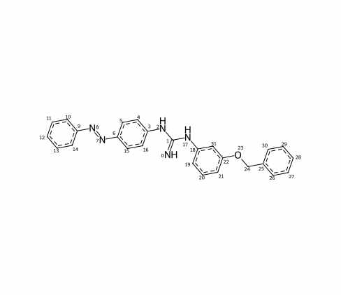 N=C(Nc1ccc(N=Nc2ccccc2)cc1)Nc1cccc(OCc2ccccc2)c1